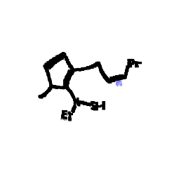 CCN(S)C1=C(C/C=C\C(C)C)C=CC1C